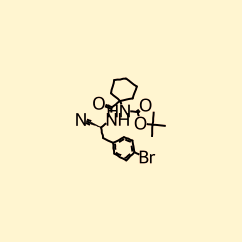 CC(C)(C)OC(=O)NC1(C(=O)N[C@H](C#N)Cc2ccc(Br)cc2)CCCCC1